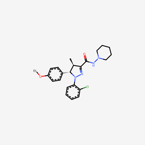 CCOc1ccc([C@@H]2[C@@H](C)C(C(=O)NN3CCCCC3)=NN2c2ccccc2Cl)cc1